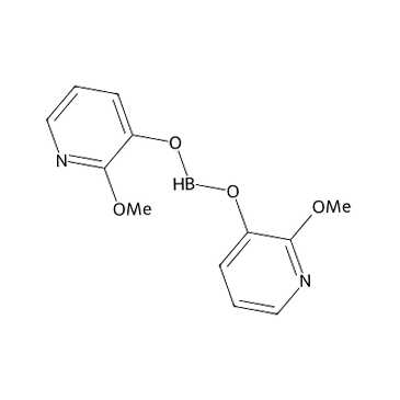 COc1ncccc1OBOc1cccnc1OC